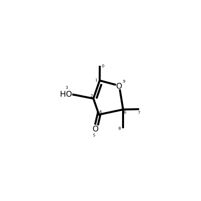 CC1=C(O)C(=O)C(C)(C)O1